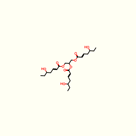 CCC(O)CC=CC(=O)OCC(COC(=O)C=CCC(O)CC)OC(=O)C=CCC(O)CC